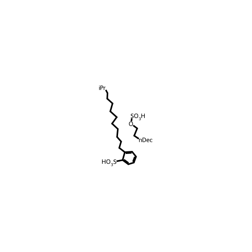 CC(C)CCCCCCCCCCc1ccccc1S(=O)(=O)O.CCCCCCCCCCCCOS(=O)(=O)O